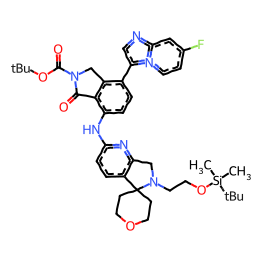 CC(C)(C)OC(=O)N1Cc2c(-c3cnc4cc(F)ccn34)ccc(Nc3ccc4c(n3)CN(CCO[Si](C)(C)C(C)(C)C)C43CCOCC3)c2C1=O